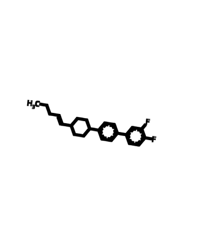 CCCC=CC1CCC(c2ccc(-c3ccc(F)c(F)c3)cc2)CC1